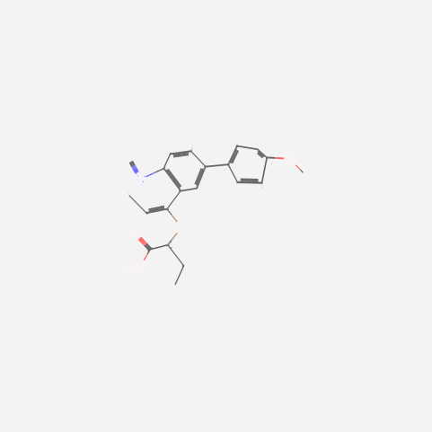 C=Nc1ccc(-c2ccc(OC)cc2)cc1/C(=C\C)SC(CC)C(=O)O